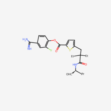 CCC(CC)(Cc1ccc(C(=O)Oc2ccc(C(=N)N)cc2F)s1)C(=O)N[C@H](C=O)C(C)C